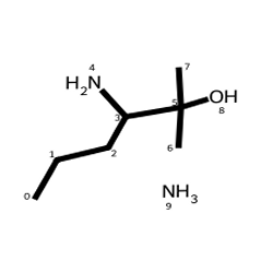 CCCC(N)C(C)(C)O.N